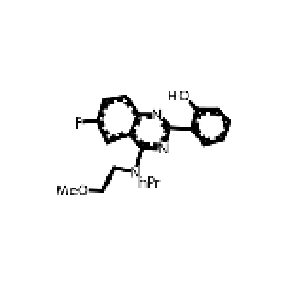 CCCN(CCOC)c1nc(-c2ccccc2O)nc2ccc(F)cc12